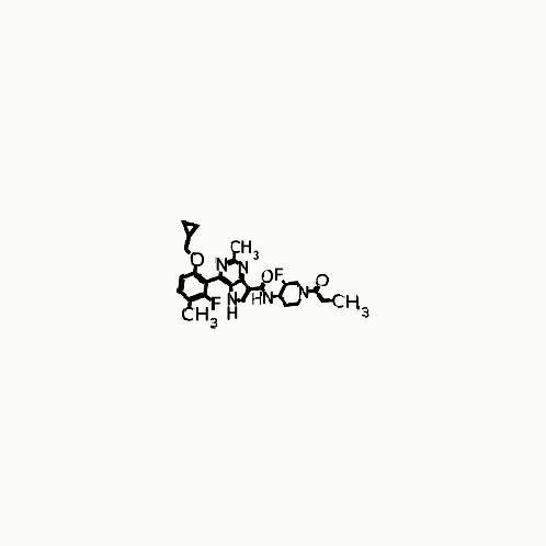 CCC(=O)N1CC[C@@H](NC(=O)c2c[nH]c3c(-c4c(OCC5CC5)ccc(C)c4F)nc(C)nc23)[C@@H](F)C1